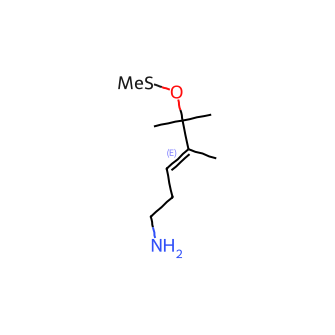 CSOC(C)(C)/C(C)=C/CCN